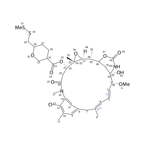 CO[C@@H]1/C=C/C=C(\C)Cc2cc(C)c(Cl)c(c2)N(C)C(=O)C[C@H](OC(=O)C2CCC(CSSC)OC2)[C@]2(C)O[C@H]2[C@H](C)C2C[C@@]1(O)NC(=O)O2